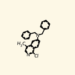 Cc1cnc(Cl)c2ccc(N(Cc3ccccc3)Cc3ccccc3)cc12